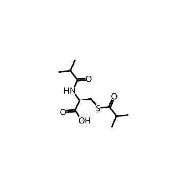 CC(C)C(=O)N[C@@H](CSC(=O)C(C)C)C(=O)O